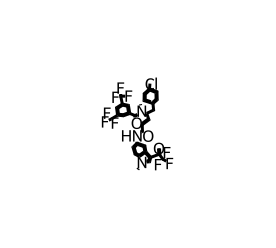 CN(C(=O)c1cc(C(F)(F)F)cc(C(F)(F)F)c1)C(C=CC(=O)Nc1ccc2c(c1)c(C(=O)C(F)(F)F)cn2C)Cc1ccc(Cl)cc1